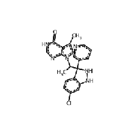 Cc1nn(C(C)C2(c3cccnc3)NNc3cc(Cl)ccc32)c2nc[nH]c(=O)c12